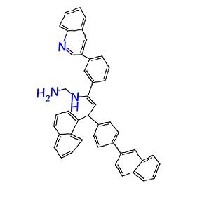 NCN/C(=C\C(c1ccc(-c2ccc3ccccc3c2)cc1)c1cccc2ccccc12)c1cccc(-c2cnc3ccccc3c2)c1